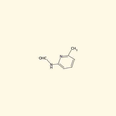 Cc1cccc(N[C]=O)n1